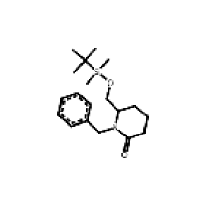 CC(C)(C)[Si](C)(C)OCC1CCCC(=O)N1Cc1ccccc1